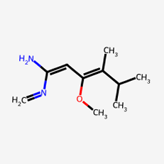 C=N/C(N)=C\C(OC)=C(/C)C(C)C